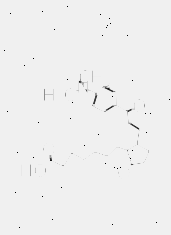 CN(C)c1ccc(C(=O)/C=C/C2CCC(=O)C2CCCCCCC(=O)O)cc1